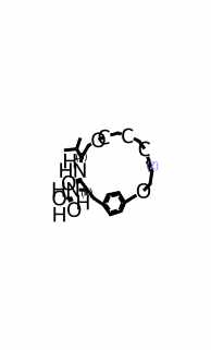 CC(C)[C@H]1COCCCCC/C=C\COc2ccc(cc2)C[C@@H](NC(=O)O)C(=O)N1